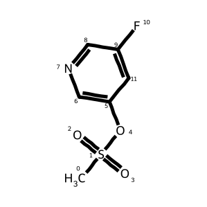 CS(=O)(=O)Oc1cncc(F)c1